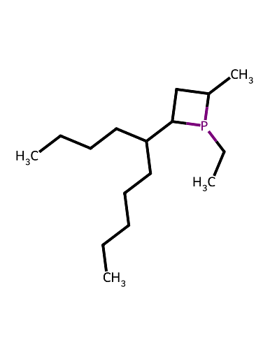 CCCCCC(CCCC)C1CC(C)P1CC